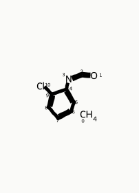 C.O=C=Nc1ccccc1Cl